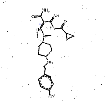 CN(/C=C(\C(=N)NC(=O)C1CC1)C(N)=O)[C@]1(CC#N)CC[C@@H](NCc2ccc(C#N)cc2)CC1